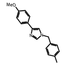 COc1ccc(-c2cn(Cc3ccc(C)cc3)cn2)cc1